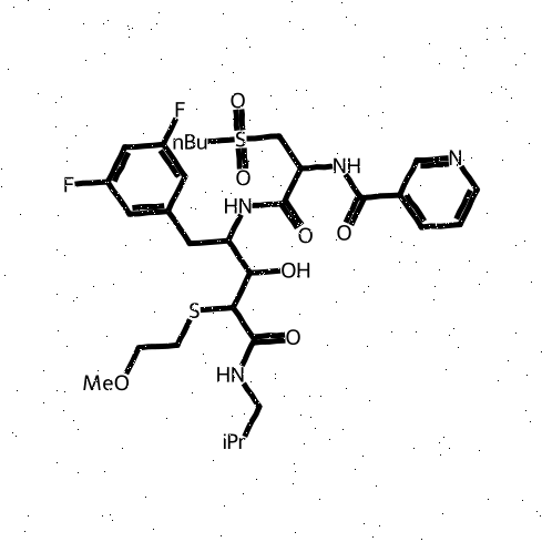 CCCCS(=O)(=O)CC(NC(=O)c1cccnc1)C(=O)NC(Cc1cc(F)cc(F)c1)C(O)C(SCCOC)C(=O)NCC(C)C